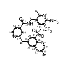 Cc1nc(N)c(C(F)(F)F)cc1CNC(=O)c1ccnc(Cc2cc(S(C)(=O)=O)c3ncc(F)cc3c2)c1